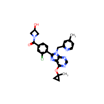 Cc1ccnc(Cn2c(-c3ccc(C(=O)N4CC(O)C4)cc3Cl)nc3c(OC4(C)CC4)ncnc32)c1